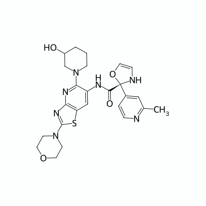 Cc1cc([C@@]2(C(=O)Nc3cc4sc(N5CCOCC5)nc4nc3N3CCCC(O)C3)NC=CO2)ccn1